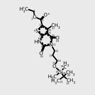 CCOC(=O)c1sc2[nH]c(=O)n(CCCO[Si](C)(C)C(C)(C)C)c(=O)c2c1C